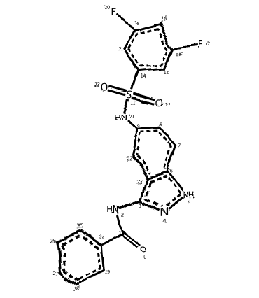 O=C(Nc1n[nH]c2ccc(NS(=O)(=O)c3cc(F)cc(F)c3)cc12)c1ccccc1